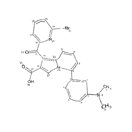 CN(C)c1cccc(-c2cccc3c(C(=O)c4cccc(Br)n4)c(C(=O)O)cn23)c1